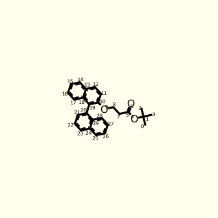 CC(C)(C)OC(=O)CCOc1ccc2ccccc2c1-c1cccc2ccccc12